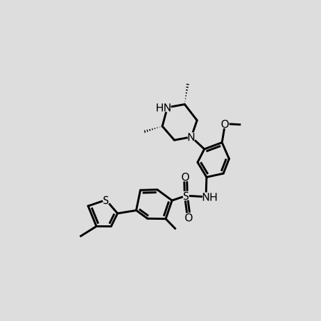 COc1ccc(NS(=O)(=O)c2ccc(-c3cc(C)cs3)cc2C)cc1N1C[C@@H](C)N[C@@H](C)C1